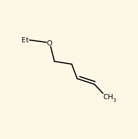 [CH2]COCCC=CC